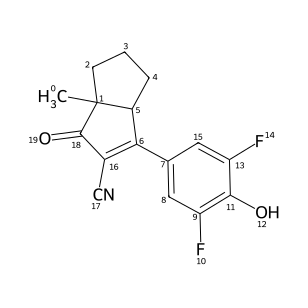 CC12CCCC1C(c1cc(F)c(O)c(F)c1)=C(C#N)C2=O